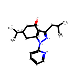 CC(C)Cc1nn(-c2ccccn2)c2c1C(=O)CC(C(C)C)C2